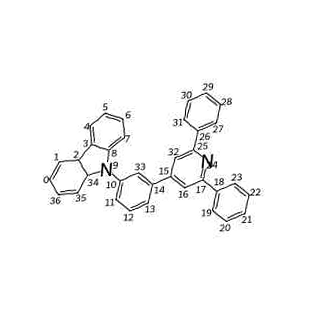 C1=CC2c3ccccc3N(c3cccc(-c4cc(-c5ccccc5)nc(-c5ccccc5)c4)c3)C2C=C1